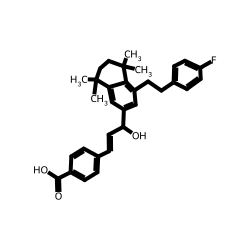 CC1(C)CCC(C)(C)c2c(CCc3ccc(F)cc3)cc(C(O)/C=C/c3ccc(C(=O)O)cc3)cc21